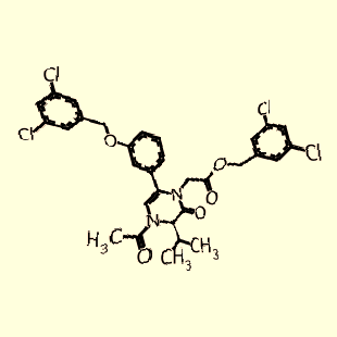 CC(=O)N1C=C(c2cccc(OCc3cc(Cl)cc(Cl)c3)c2)N(CC(=O)OCc2cc(Cl)cc(Cl)c2)C(=O)[C@H]1C(C)C